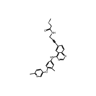 CSCC(=O)NCC#Cc1ccc2ncnc(Nc3ccc(Oc4ccc(C)nc4)c(C)c3)c2c1